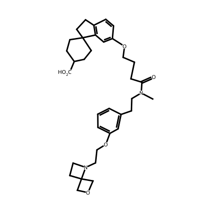 CN(CCc1cccc(OCCN2CCC23COC3)c1)C(=O)CCCOc1ccc2c(c1)C1(CC2)CCC(C(=O)O)CC1